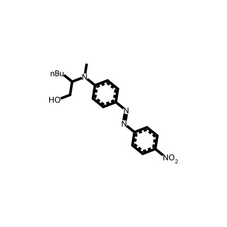 CCCCC(CO)N(C)c1ccc(N=Nc2ccc([N+](=O)[O-])cc2)cc1